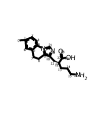 Cc1ccc2c(c1)CCc1c(C[C@H](CCCN)C(=O)O)ncn1-2